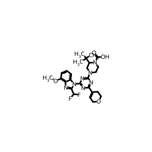 COc1cccc2c1nc(C(F)F)n2-c1nc(C2=CCOCC2)nc(N2CCN(C(=O)O)C(C(C)(C)C)C2)n1